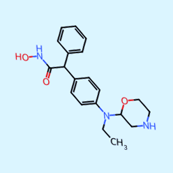 CCN(c1ccc(C(C(=O)NO)c2ccccc2)cc1)C1CNCCO1